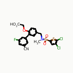 CN(Cc1ccc(OCC(=O)O)c(-c2cc(F)cc(C#N)c2)c1)S(=O)(=O)c1cc(Cl)c(Cl)s1